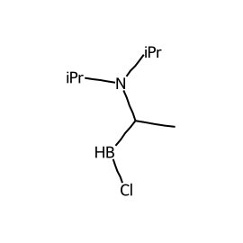 CC(C)N(C(C)C)C(C)BCl